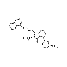 Cc1cccc(-c2cccc3c(CCCOc4cccc5ccccc45)c(C(=O)O)[nH]c23)c1